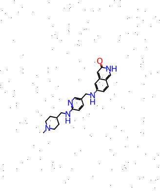 CN1CCC(CNc2ccc(CNc3ccc4c[nH]c(=O)cc4c3)cn2)CC1